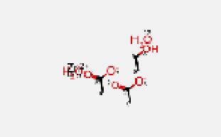 CC(=O)[O-].CC(=O)[O-].CCO.O.O.[Zn+2]